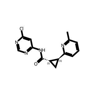 Cc1cccc([C@H]2C[C@@H]2C(=O)Nc2cc(Cl)ncn2)n1